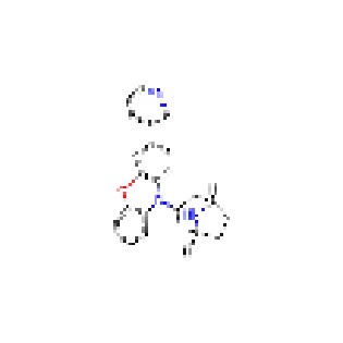 c1cncc(-c2ccc3c(c2)Oc2ccccc2N3[C@@H]2C[C@H]3CC[C@@H](C2)N3)c1